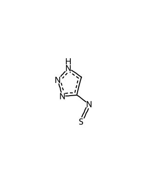 S=Nc1c[nH]nn1